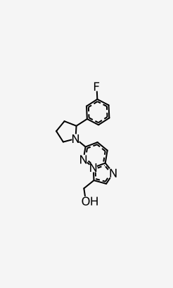 OCc1cnc2ccc(N3CCCC3c3cccc(F)c3)nn12